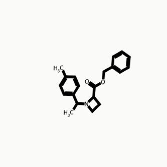 Cc1ccc(C(C)N2CCC2C(=O)OCc2ccccc2)cc1